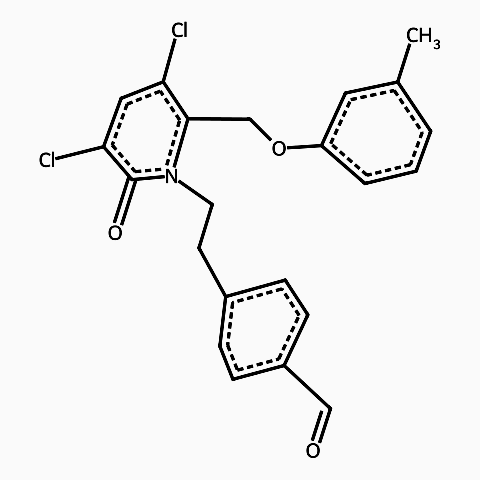 Cc1cccc(OCc2c(Cl)cc(Cl)c(=O)n2CCc2ccc(C=O)cc2)c1